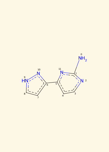 Nc1nccc(-c2cc[nH]n2)n1